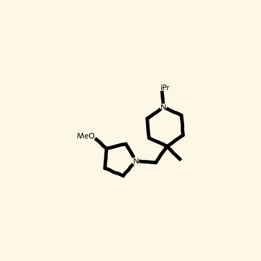 COC1CCN(CC2(C)CCN(C(C)C)CC2)C1